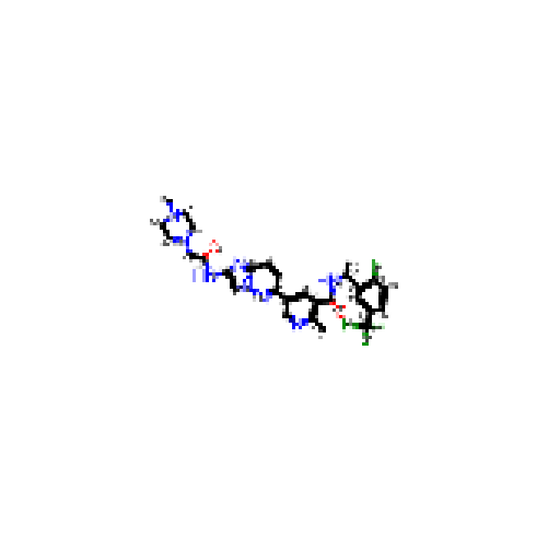 Cc1ncc(-c2ccc3nc(NC(=O)CN4CCN(C)CC4)cn3n2)cc1C(=O)NC(C)c1cc(C(F)(F)F)ccc1F